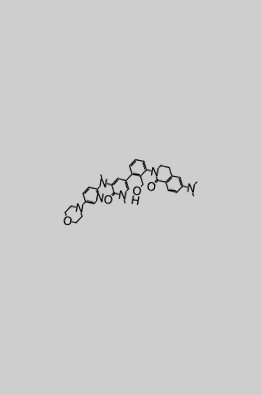 CN(C)c1ccc2c(c1)CCN(c1cccc(-c3cc(N(C)c4ccc(N5CCOCC5)cn4)c(=O)n(C)c3)c1CO)C2=O